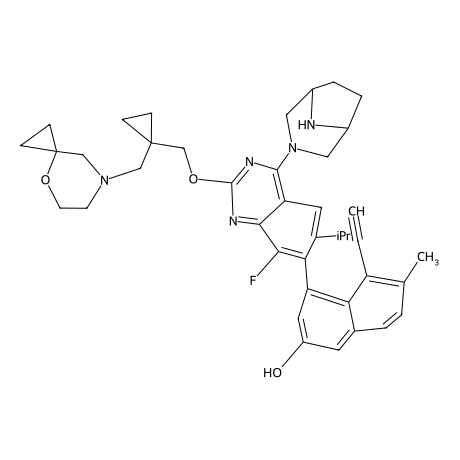 C#Cc1c(C)ccc2cc(O)cc(-c3c(C(C)C)cc4c(N5CC6CCC(C5)N6)nc(OCC5(CN6CCOC7(CC7)C6)CC5)nc4c3F)c12